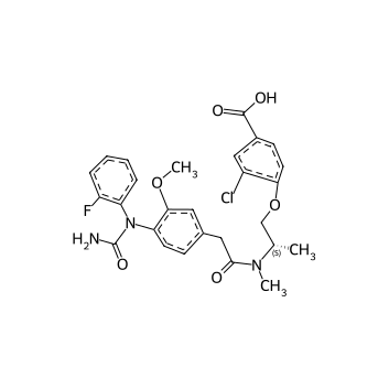 COc1cc(CC(=O)N(C)[C@@H](C)COc2ccc(C(=O)O)cc2Cl)ccc1N(C(N)=O)c1ccccc1F